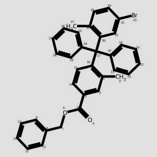 Cc1cc(C(=O)OCc2ccccc2)ccc1C(c1ccccc1)(c1ccccc1)c1cc(Br)ccc1C